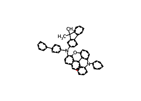 CC1(C)c2ccccc2-c2ccc(N(c3ccc(-c4ccccc4)cc3)c3ccc4cccc5c4c3Oc3cccc(N(c4ccccc4)c4ccccc4)c3-5)cc21